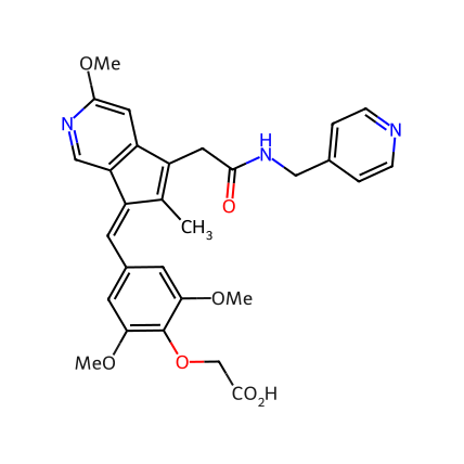 COc1cc2c(cn1)C(=Cc1cc(OC)c(OCC(=O)O)c(OC)c1)C(C)=C2CC(=O)NCc1ccncc1